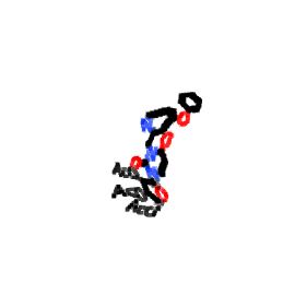 CC(=O)OC[C@H]1O[C@@H](n2ccc(=O)n(Cc3cc(Oc4ccccc4)ccn3)c2=O)C(OC(C)=O)C1OC(C)=O